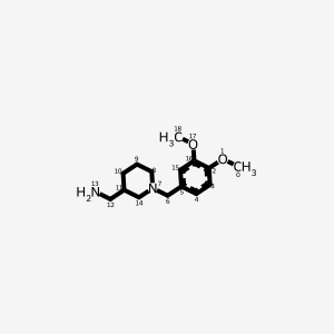 COc1ccc(CN2CCCC(CN)C2)cc1OC